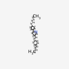 CCCCCCc1ccc(-c2ccc(CC[C@H]3CC[C@H](CCCC)CC3)cn2)cc1